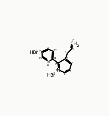 Br.Br.C=CCc1cccnc1-c1ccccn1